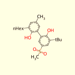 CCCCCCc1cc(C)cc(-c2cc(S(C)(=O)=O)cc(C(C)(C)C)c2O)c1O